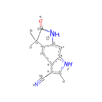 Cc1[nH]c2cc3c(cc2c1C#N)C(C)(C)C(=O)N3